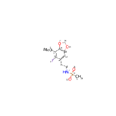 COc1c(I)c(CCNS(C)(=O)=O)cc2c1OCO2